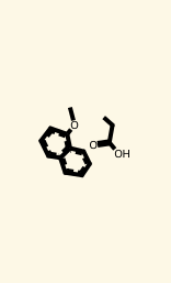 CCC(=O)O.COc1cccc2ccccc12